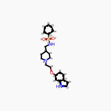 O=S(=O)(NCC1CCN(CCOc2ccc3cc[nH]c3c2)CC1)c1ccccc1